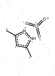 Cc1cc(C)[nH]n1.[O]=[Cr](=[O])=[O]